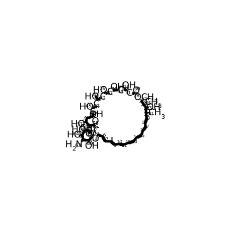 CC1OC(O[C@H]2/C=C/C=C/C=C/C=C/C=C/C=C/C=C/[C@H](C)[C@@H](O)[C@@H](C)[C@H](C)OC(=O)C[C@H](O)C[C@H](O)C[C@H](O)CC(O)C[C@H](O)C[C@]3(O)C[C@H](O)[C@@H](C(=O)O)C(C2)O3)C(O)C(N)C1O